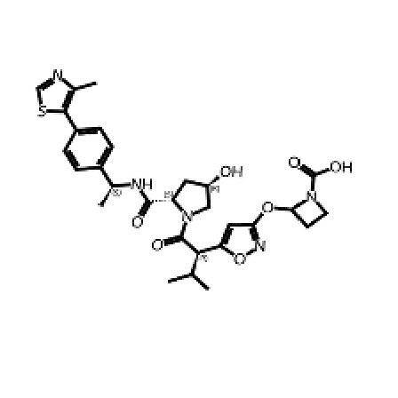 Cc1ncsc1-c1ccc([C@H](C)NC(=O)[C@@H]2C[C@@H](O)CN2C(=O)[C@@H](c2cc(OC3CCN3C(=O)O)no2)C(C)C)cc1